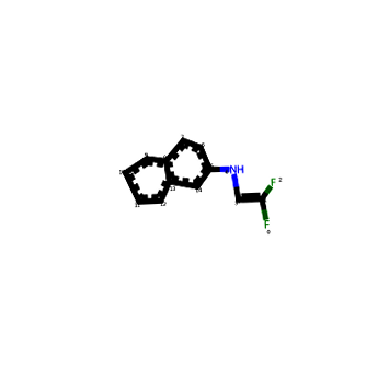 FC(F)=CNc1ccc2ccccc2c1